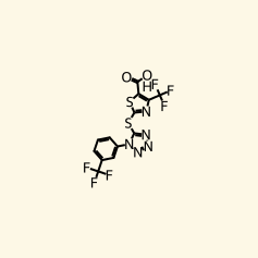 O=C(O)c1sc(Sc2nnnn2-c2cccc(C(F)(F)F)c2)nc1C(F)(F)F